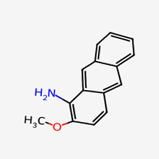 COc1ccc2cc3ccccc3cc2c1N